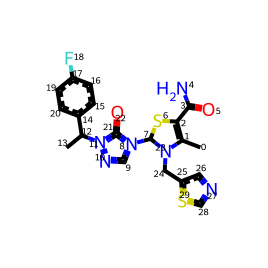 CC1=C(C(N)=O)SC(n2cnn(C(C)c3ccc(F)cc3)c2=O)N1Cc1cncs1